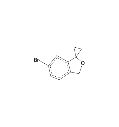 Brc1ccc2c(c1)C1(CC1)OC2